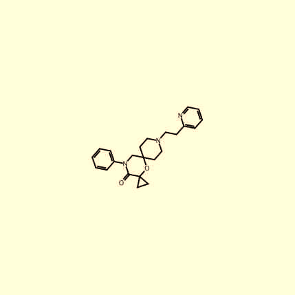 O=C1N(c2ccccc2)CC2(CCN(CCc3ccccn3)CC2)OC12CC2